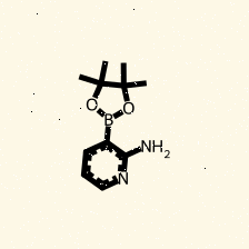 CC1(C)OB(c2cccnc2N)OC1(C)C